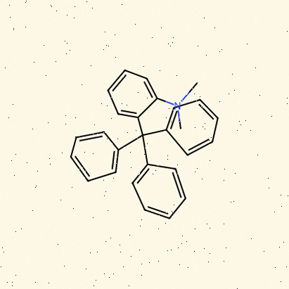 CN(C)c1ccccc1C(c1ccccc1)(c1ccccc1)c1ccccc1